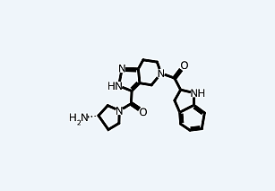 N[C@H]1CCN(C(=O)c2[nH]nc3c2CN(C(=O)C2Cc4ccccc4N2)CC3)C1